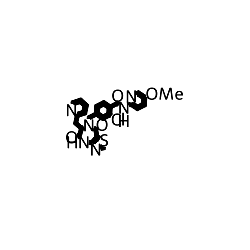 COc1ccc(NC(=O)c2ccc(CN3C(=O)c4scnc4NC(=O)C3Cc3ccccn3)cc2Cl)nc1